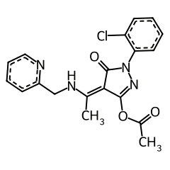 CC(=O)OC1=NN(c2ccccc2Cl)C(=O)C1=C(C)NCc1ccccn1